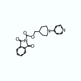 O=C(OCC1CCN(c2ccncc2)CC1)N1C(=O)c2ccccc2C1=O